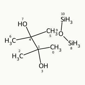 CC(C)(O)C(C)(C)O.[SiH3]O[SiH3]